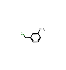 O=[N+]([O-])c1cccc([CH]Cl)c1